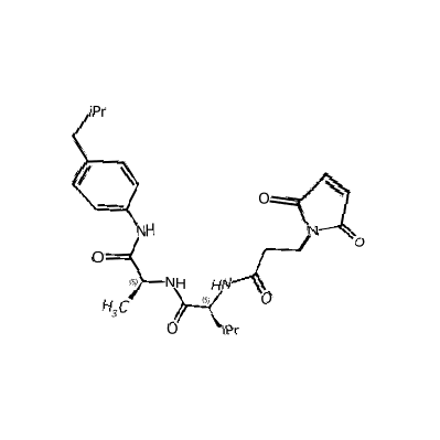 CC(C)Cc1ccc(NC(=O)[C@H](C)NC(=O)[C@@H](NC(=O)CCN2C(=O)C=CC2=O)C(C)C)cc1